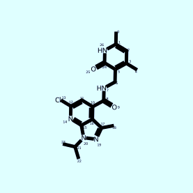 Cc1cc(C)c(CNC(=O)c2cc(Cl)nc3c2c(C)nn3C(C)C)c(=O)[nH]1